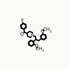 COc1cccc(CC(CN2CCC(C(=O)c3ccc(F)cc3)CC2)c2ccccc2OC)c1